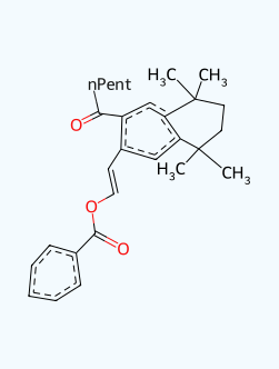 CCCCCC(=O)c1cc2c(cc1C=COC(=O)c1ccccc1)C(C)(C)CCC2(C)C